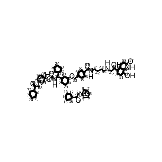 O=C(C[N+]12CCC(CC1)CC2)c1ccccc1.O=C(NC(c1ccccc1)c1cccc(OCc2ccc(C(=O)NCCCCNC[C@H](O)c3ccc(O)c4[nH]c(=O)ccc34)cc2)c1)O[C@H]1C[N+]2(CC(=O)c3ccccc3)CCC1CC2